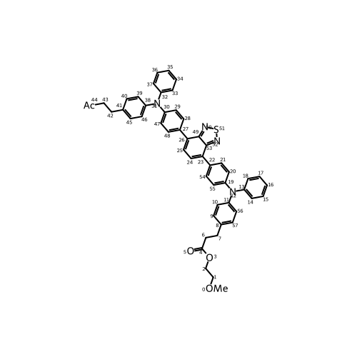 COCCOC(=O)CCc1ccc(N(c2ccccc2)c2ccc(-c3ccc(-c4ccc(N(c5ccccc5)c5ccc(CCC(C)=O)cc5)cc4)c4nsnc34)cc2)cc1